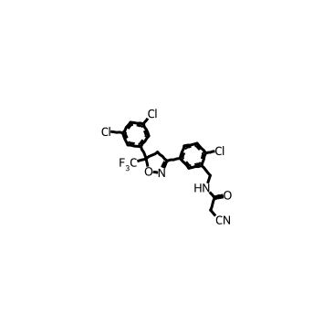 N#CCC(=O)NCc1cc(C2=NOC(c3cc(Cl)cc(Cl)c3)(C(F)(F)F)C2)ccc1Cl